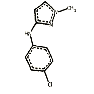 Cn1ccc(Nc2ccc(Cl)cc2)n1